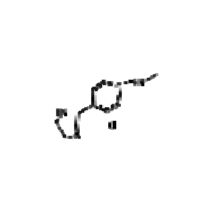 CNCc1ccc(C2=NCCN2)cc1.Cl